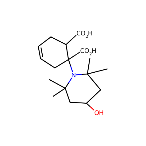 CC1(C)CC(O)CC(C)(C)N1C1(C(=O)O)CC=CCC1C(=O)O